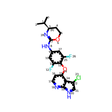 CC(C)[C@H]1CCOC(Nc2cc(F)c(Oc3ccnc4[nH]cc(Cl)c34)c(F)c2)=N1